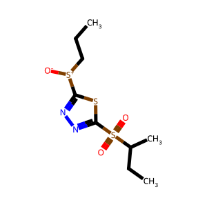 CCC[S+]([O-])c1nnc(S(=O)(=O)C(C)CC)s1